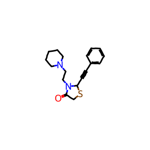 O=C1CSC(C#Cc2ccccc2)N1CCN1CCCCC1